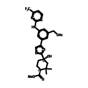 COC(=O)[C@H]1CC[C@](O)(c2ncc(-c3cc(COC(C)=O)cc(Nc4nccc(C(F)(F)F)n4)c3)s2)CC1(C)C